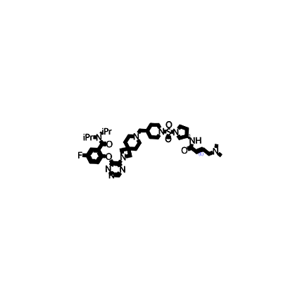 CC(C)N(C(=O)c1cc(F)ccc1Oc1nncnc1N1CC2(CCN(CC3CCN(S(=O)(=O)N4CC[C@@H](NC(=O)/C=C/CN(C)C)C4)CC3)CC2)C1)C(C)C